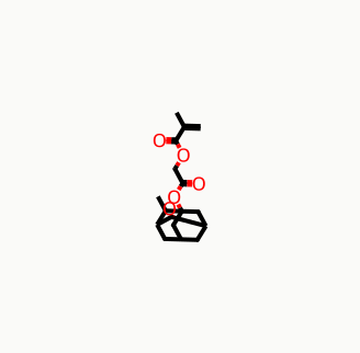 C=C(C)C(=O)OCC(=O)OC12CC3CC(C1)C(=O)C(C3)C2C